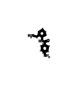 NCc1ccccc1NC(=O)c1ccc(N)cc1